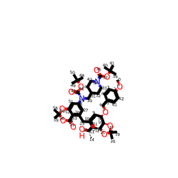 COc1ccc(CO[C@H](/C=C\[C@@H](C)[C@H](C)O)[C@H]2OC(C)(C)O[C@H]2CCCc2cc(N(CC3CCN(C(=O)OC(C)(C)C)CC3)C(=O)OC(C)(C)C)cc3c2C(=O)OC(C)(C)O3)cc1